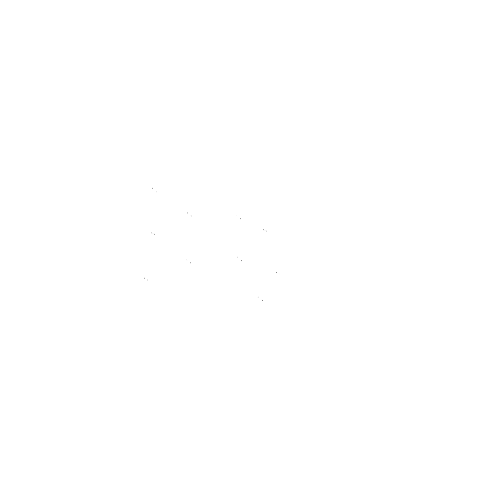 Nc1nc(N)nc(-c2nn(Cc3ccccc3F)c3nncn23)n1